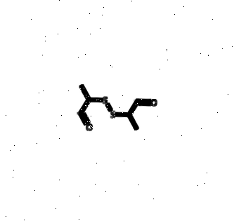 CC([C]=O)SSC(C)[C]=O